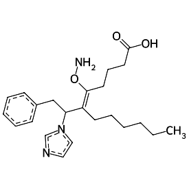 CCCCCCC(=C(CCCC(=O)O)ON)C(Cc1ccccc1)n1ccnc1